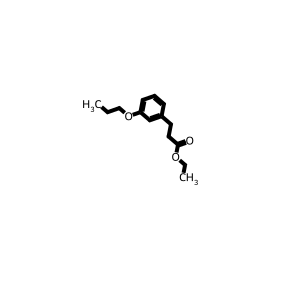 CCCOc1cccc(CCC(=O)OCC)c1